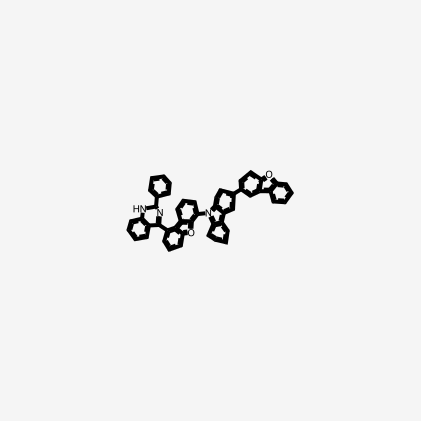 c1ccc(C2N=C(c3cccc4oc5c(-n6c7ccccc7c7cc(-c8ccc9oc%10ccccc%10c9c8)ccc76)cccc5c34)c3ccccc3N2)cc1